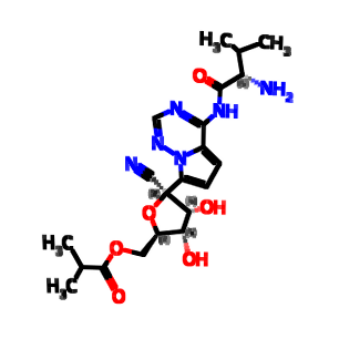 CC(C)C(=O)OC[C@H]1O[C@@](C#N)(c2ccc3c(NC(=O)[C@@H](N)C(C)C)ncnn23)[C@H](O)[C@@H]1O